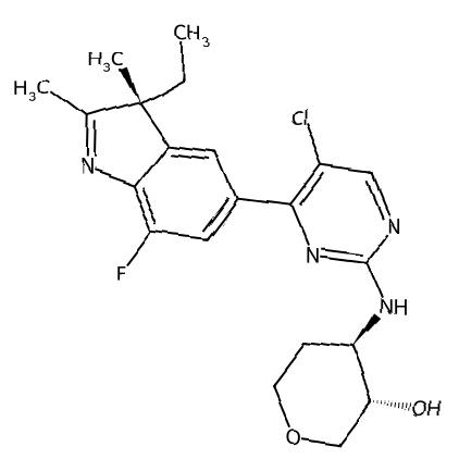 CC[C@@]1(C)C(C)=Nc2c(F)cc(-c3nc(N[C@@H]4CCOC[C@H]4O)ncc3Cl)cc21